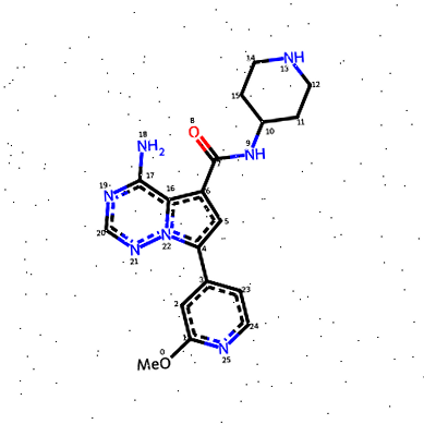 COc1cc(-c2cc(C(=O)NC3CCNCC3)c3c(N)ncnn23)ccn1